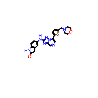 O=C1Cc2cc(Nc3nc4cncc(-c5ccc(CN6CCOCC6)s5)n4n3)ccc2N1